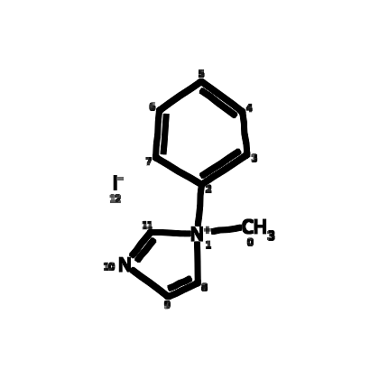 C[N+]1(c2ccccc2)C=CN=C1.[I-]